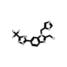 FC(F)(F)c1nnc(-c2ccc3nc(CCl)n(Cc4cncs4)c3c2)[nH]1